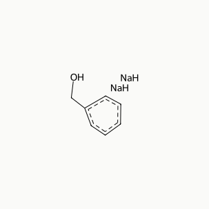 OCc1ccccc1.[NaH].[NaH]